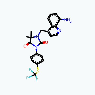 CC1(C)C(=O)N(c2ccc(SC(F)(F)F)cc2)C(=O)N1Cc1ccnc2c(N)cccc12